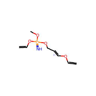 C=CO/C=C/COP(=N)(OC)OC=C